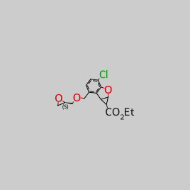 CCOC(=O)C1C2Oc3c(Cl)ccc(COC[C@H]4CO4)c3C21